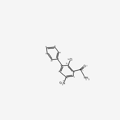 NC(=O)c1cc([N+](=O)[O-])cc(-c2ccccc2)c1Cl